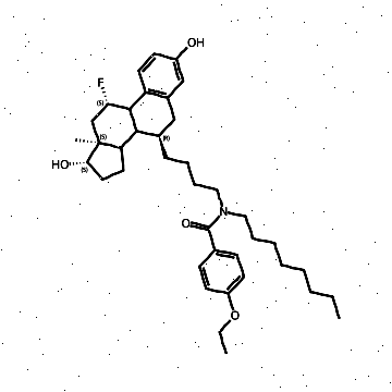 CCCCCCCCN(CCCC[C@@H]1Cc2cc(O)ccc2C2C1C1CC[C@H](O)[C@@]1(C)C[C@@H]2F)C(=O)c1ccc(OCC)cc1